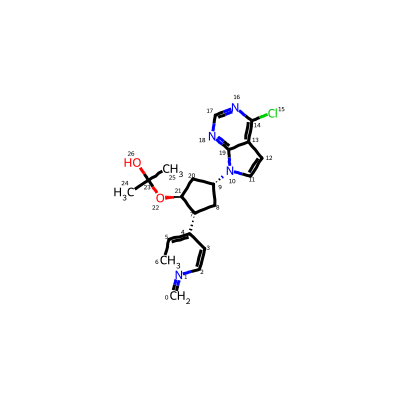 C=N/C=C\C(=C/C)[C@H]1C[C@@H](n2ccc3c(Cl)ncnc32)C[C@@H]1OC(C)(C)O